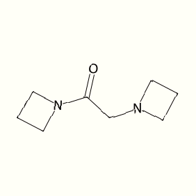 O=C(CN1CCC1)N1CCC1